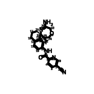 N#Cc1ccc(C(=O)Nc2ccc3c(c2)[C@@]2(CCC3)N=C(N)COCC2(F)F)nc1